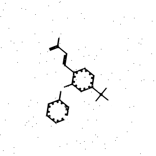 O=C(O)C=Cc1ccc(C(F)(F)F)cc1Oc1cccnc1